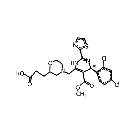 COC(=O)C1=C(CN2CCOC(CCC(=O)O)C2)NC(c2nccs2)=N[C@H]1c1ccc(Cl)cc1Cl